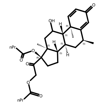 CCCC(=O)OCC(=O)[C@@]1(OC(=O)CCC)CC[C@H]2[C@@H]3C[C@H](C)C4=CC(=O)C=C[C@]4(C)[C@H]3C(O)C[C@@]21C